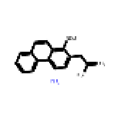 C=C(C)Cc1ccc2c(ccc3ccccc32)c1S(=O)(=O)O.N